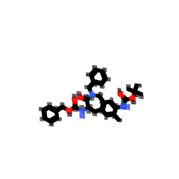 Cc1cc2c(cc1NC(=O)OC(C)(C)C)CN(Cc1ccccc1)C(=O)[C@H](NC(=O)OCc1ccccc1)C2